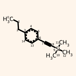 CCCc1ccc(C#C[Si](C)(C)C)cc1